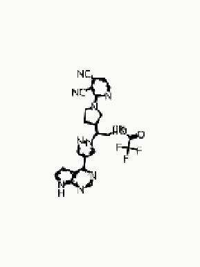 N#CCC(C1CCN(c2nccc(C#N)c2C#N)C1)n1cc(-c2ncnc3[nH]ccc23)cn1.O=C(O)C(F)(F)F